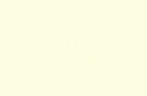 CCCC(CCC)c1ccc(Cl)c2nc(Oc3c(Cl)cc(Cl)cc3Cl)n(C)c12